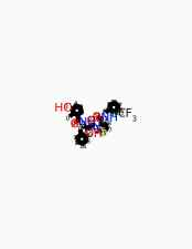 Cc1c(O)cccc1C(=O)N[C@@H](Cc1ccccc1)[C@H](O)C(=O)N1CSC(C)(C)[C@H]1C(=O)NCc1cccc(C(F)(F)F)c1F